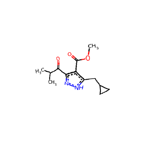 COC(=O)c1c(C(=O)C(C)C)n[nH]c1CC1CC1